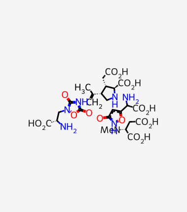 C=C(C)[C@H]1CN[C@H](C(=O)O)[C@H]1CC(=O)O.CN[C@H](CC(=O)O)C(=O)O.NC(C(=O)O)c1cc(=O)[nH]o1.N[C@@H](Cn1oc(=O)[nH]c1=O)C(=O)O